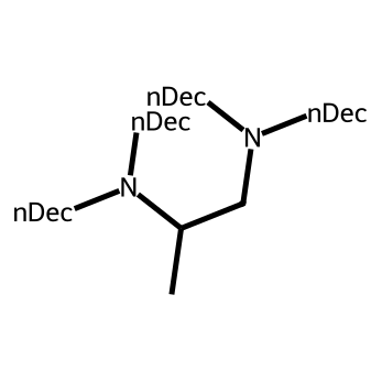 CCCCCCCCCCN(CCCCCCCCCC)CC(C)N(CCCCCCCCCC)CCCCCCCCCC